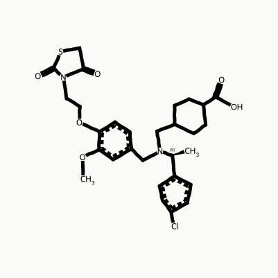 COc1cc(CN(CC2CCC(C(=O)O)CC2)[C@@H](C)c2ccc(Cl)cc2)ccc1OCCN1C(=O)CSC1=O